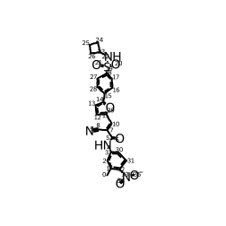 Cc1cc(NC(=O)/C(C#N)=C/c2ccc(-c3ccc(S(=O)(=O)NC4CCC4)cc3)o2)ccc1[N+](=O)[O-]